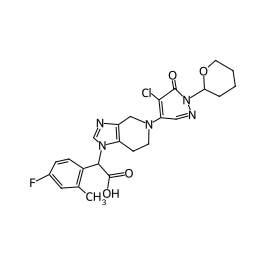 Cc1cc(F)ccc1C(C(=O)O)n1cnc2c1CCN(c1cnn(C3CCCCO3)c(=O)c1Cl)C2